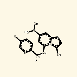 C[C@@H](Nc1cc(B(O)O)cc2ncc(C#N)n12)c1ccc(F)cn1